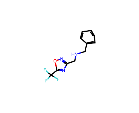 FC(F)(F)c1nc(CNCc2ccccc2)no1